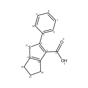 O=C(O)c1c(-c2ccccc2)sc2c1CCC2